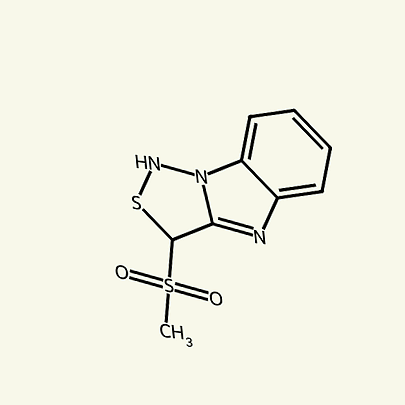 CS(=O)(=O)C1SNn2c1nc1ccccc12